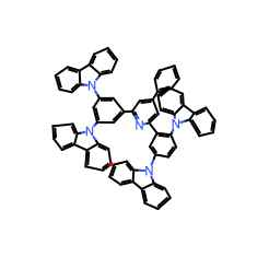 c1ccc(-c2cc(-c3cc(-n4c5ccccc5c5ccccc54)cc(-n4c5ccccc5c5ccccc54)c3)nc(-c3cc(-n4c5ccccc5c5ccccc54)ccc3-n3c4ccccc4c4ccccc43)c2)cc1